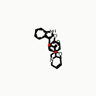 O=C(Cc1c[nH]c2ccccc12)N1CN2CC=CC(O1)C2c1ccc(Cl)cc1